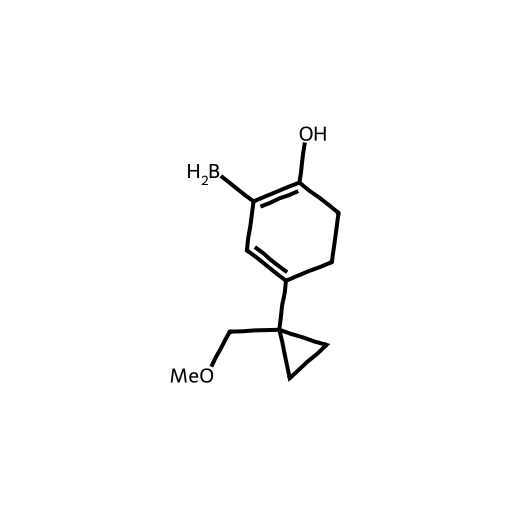 BC1=C(O)CCC(C2(COC)CC2)=C1